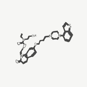 CCN(CCO)C(=O)OCn1c(=O)ccc2ccc(OCCCCN3CCN(c4cccc5sccc45)CC3)cc21